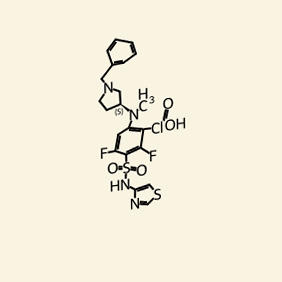 CN(c1cc(F)c(S(=O)(=O)Nc2cscn2)c(F)c1Cl)[C@H]1CCN(Cc2ccccc2)C1.O=CO